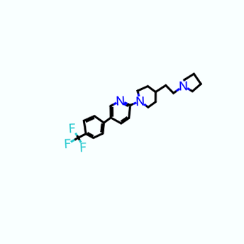 FC(F)(F)c1ccc(-c2ccc(N3CCC(CCN4CCCC4)CC3)nc2)cc1